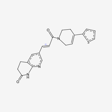 O=C1CCc2cc(/C=C/C(=O)N3CC=C(c4cccs4)CC3)cnc2N1